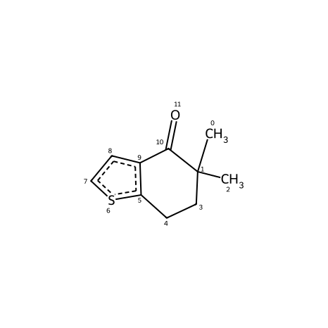 CC1(C)CCc2sccc2C1=O